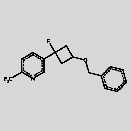 FC(F)(F)c1ccc(C2(F)CC(OCc3ccccc3)C2)cn1